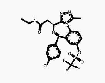 CCNC(=O)C[C@@H]1N=C(c2ccc(Cl)cc2)c2cc(OS(=O)(=O)C(F)(F)F)ccc2-n2c(C)nnc21